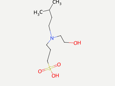 CC(C)CCN(CCO)CCCS(=O)(=O)O